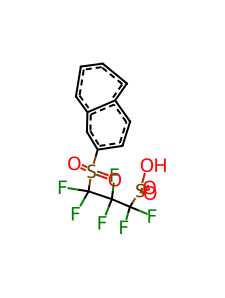 O=S(=O)(O)C(F)(F)C(F)(F)C(F)(F)S(=O)(=O)c1ccc2ccccc2c1